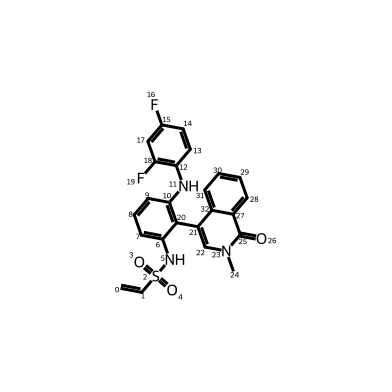 C=CS(=O)(=O)Nc1cccc(Nc2ccc(F)cc2F)c1-c1cn(C)c(=O)c2ccccc12